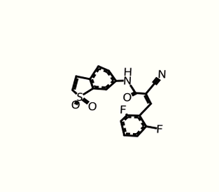 N#C/C(=C/c1c(F)cccc1F)C(=O)Nc1ccc2c(c1)S(=O)(=O)C=C2